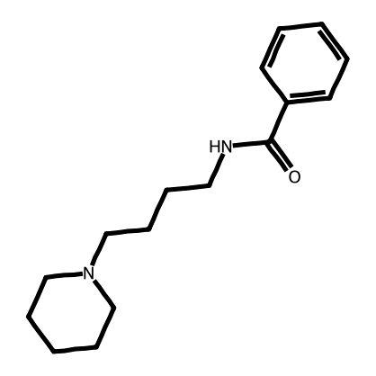 O=C(NCCCCN1CCCCC1)c1ccccc1